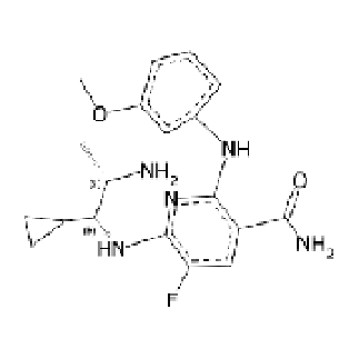 COc1cccc(Nc2nc(N[C@H](C3CC3)[C@H](C)N)c(F)cc2C(N)=O)c1